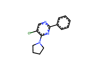 Clc1cnc(-c2ccccc2)nc1N1CCCC1